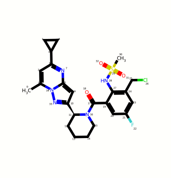 Cc1cc(C2CC2)nc2cc([C@@H]3CCCCN3C(=O)c3cc(F)cc(CCl)c3NS(C)(=O)=O)nn12